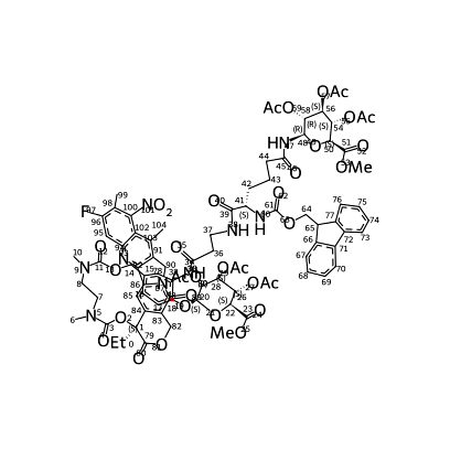 CC[C@@]1(OC(=O)N(C)CCN(C)C(=O)OCc2ccc(O[C@@H]3O[C@H](C(=O)OC)[C@@H](OC(C)=O)[C@H](OC(C)=O)[C@H]3OC(C)=O)c(NC(=O)CCNC(=O)[C@H](CCCC(=O)N[C@@H]3O[C@H](C(=O)OC)[C@@H](OC(C)=O)[C@H](OC(C)=O)[C@H]3OC(C)=O)NC(=O)OCC3c4ccccc4-c4ccccc43)c2)C(=O)OCc2c1cc1n(c2=O)Cc2c-1nc1cc(F)c(C)c([N+](=O)[O-])c1c2C